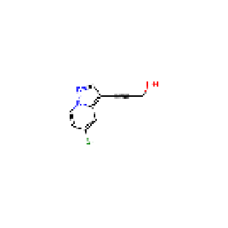 OCC#Cc1cnn2ccc(Br)cc12